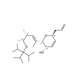 C=CC[C@H]1C=C[C@H](O)[C@H](/C(C)=C/[C@@H](C)[C@@H](C)O[Si](C(C)C)(C(C)C)C(C)C)O1